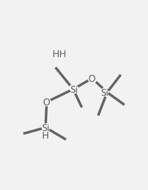 C[SiH](C)O[Si](C)(C)O[Si](C)(C)C.[HH]